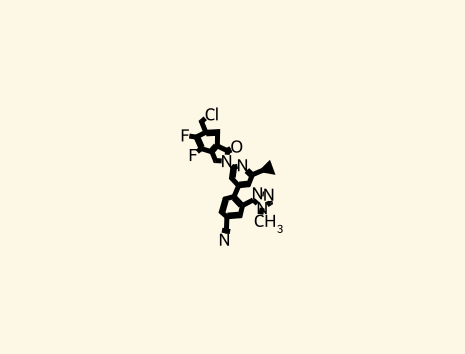 Cn1cnnc1-c1cc(C#N)ccc1-c1cc(C2CC2)nc(N2Cc3c(cc(CCl)c(F)c3F)C2=O)c1